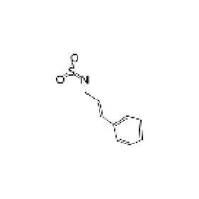 O=S(=O)=NCC=Cc1ccccc1